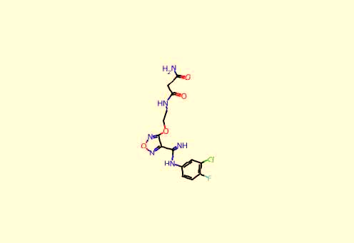 N=C(Nc1ccc(F)c(Cl)c1)c1nonc1OCCNC(=O)CC(N)=O